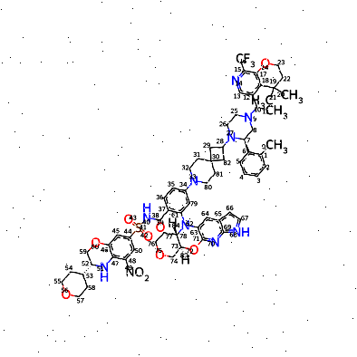 Cc1ccccc1[C@@H]1CN([C@@H](C)c2cnc(C(F)(F)F)c3c2C(C)(C)CCO3)CCN1C1CC2(CCN(c3ccc(C(=O)NS(=O)(=O)c4cc5c(c([N+](=O)[O-])c4)N[C@H](C4CCOCC4)CO5)c(N4c5cc6cc[nH]c6nc5O[C@H]5COCC[C@@H]54)c3)CC2)C1